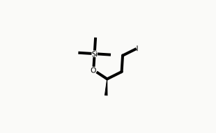 C[C@H](CCI)O[Si](C)(C)C